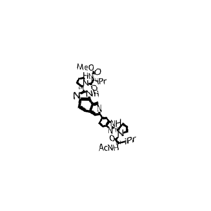 COC(=O)N[C@H](C(=O)N1CCC[C@H]1c1nc2ccc3cc(-c4ccc5nc([C@@H]6CCCN6C(=O)[C@@H](NC(C)=O)C(C)C)[nH]c5c4)ncc3c2[nH]1)C(C)C